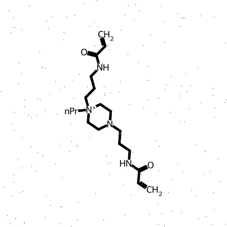 C=CC(=O)NCCCN1CC[N+](CCC)(CCCNC(=O)C=C)CC1